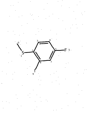 CSc1ccc(F)cc1I